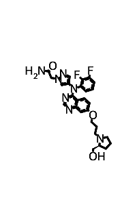 NC(=O)Cn1cc(N(c2cccc(F)c2F)c2ncnc3cc(OCCCN4CCC[C@H]4CO)ccc23)cn1